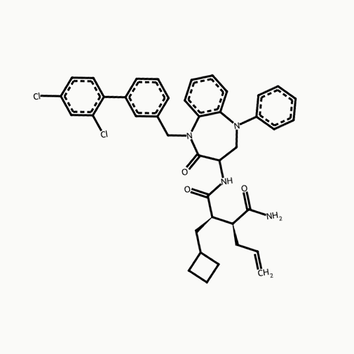 C=CC[C@H](C(N)=O)[C@@H](CC1CCC1)C(=O)NC1CN(c2ccccc2)c2ccccc2N(Cc2cccc(-c3ccc(Cl)cc3Cl)c2)C1=O